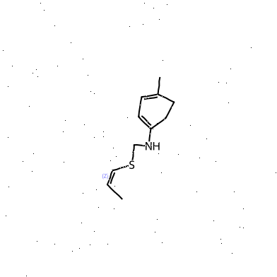 C/C=C\SCNC1=CC=C(C)CC1